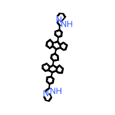 C1=CC2NC(c3ccc(-c4c5ccccc5c(-c5ccc(-c6c7ccccc7c(-c7ccc(C8=CN9C=CC=CC9N8)cc7)c7ccccc67)cc5)c5ccccc45)cc3)=CN2C=C1